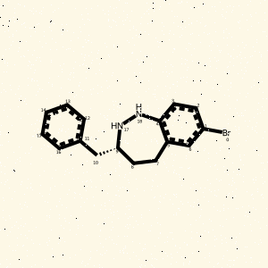 Brc1ccc2c(c1)CC[C@H](Cc1ccccc1)NN2